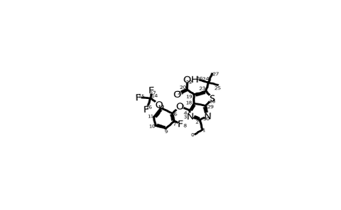 CCc1nc(Oc2c(F)cccc2OC(F)(F)F)c2c(C(=O)O)c(C(C)(C)C)sc2n1